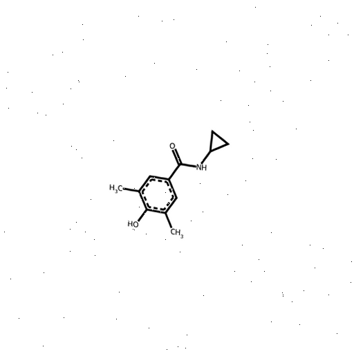 Cc1cc(C(=O)NC2CC2)cc(C)c1O